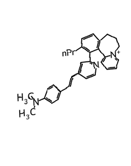 CCCc1ccc2c(c1-c1cc(/C=C/c3ccc(N(C)C)cc3)ccn1)-c1cccc[n+]1CCC2